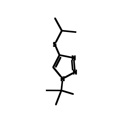 CC(C)Sc1cn(C(C)(C)C)nn1